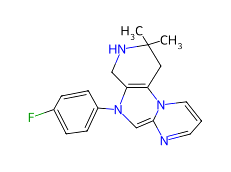 CC1(C)CC2=C(CN1)N(c1ccc(F)cc1)C=C1N=CC=CN12